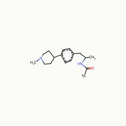 [3H]C(=O)NC(C)Cc1ccc(C2CCN(C)CC2)cc1